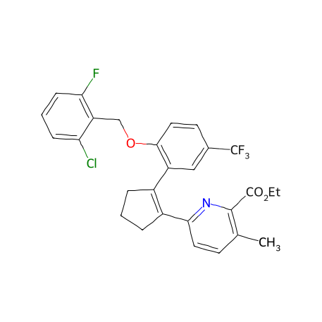 CCOC(=O)c1nc(C2=C(c3cc(C(F)(F)F)ccc3OCc3c(F)cccc3Cl)CCC2)ccc1C